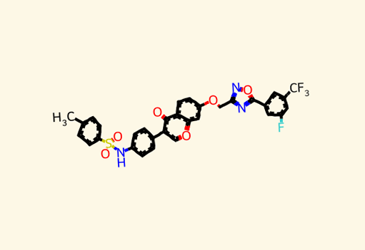 Cc1ccc(S(=O)(=O)Nc2ccc(-c3coc4cc(OCc5noc(-c6cc(F)cc(C(F)(F)F)c6)n5)ccc4c3=O)cc2)cc1